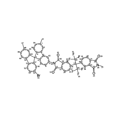 Cc1ccc(C2(c3ccc(N4C(=O)c5ccc(C(c6ccc7c(c6)C(=O)N(C)C7=O)(C(F)(F)F)C(F)(F)F)cc5C4=O)cc3)c3cc(C)ccc3-c3ccc(Br)cc32)cc1